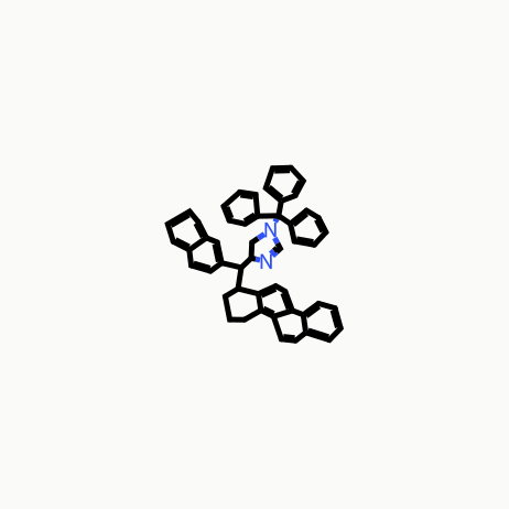 C1=NC(C(c2ccc3ccccc3c2)C2CCCc3c2ccc2c3ccc3ccccc32)CN1C(c1ccccc1)(c1ccccc1)c1ccccc1